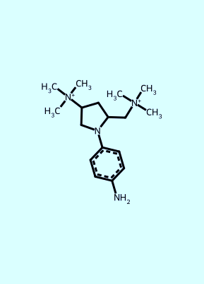 C[N+](C)(C)CC1CC([N+](C)(C)C)CN1c1ccc(N)cc1